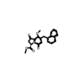 COC(=O)[C@H]1CC(=S)c2c(OC)c(Cc3cccc4ccccc34)cc(=O)n21